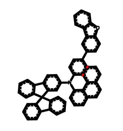 c1ccc2c(c1)-c1ccccc1C21c2ccccc2-c2ccc(N(c3ccc(-c4ccc5oc6ccccc6c5c4)cc3)c3cccc4ccc5ccccc5c34)cc21